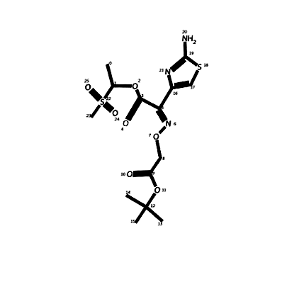 CC(OC(=O)C(=NOCC(=O)OC(C)(C)C)c1csc(N)n1)S(C)(=O)=O